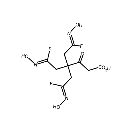 O=C(O)CC(=O)C(CC(F)=NO)(CC(F)=NO)CC(F)=NO